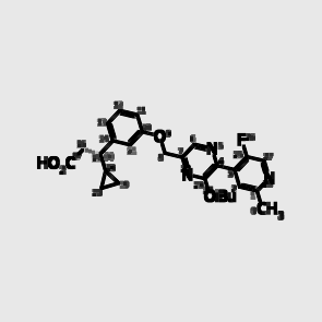 Cc1cc(-c2ncc(COc3cccc([C@@H](CC(=O)O)C4CC4)c3)nc2OCC(C)C)c(F)cn1